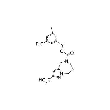 Cc1cc(COC(=O)N2CCCn3nc(C(=O)O)cc3C2)cc(C(F)(F)F)c1